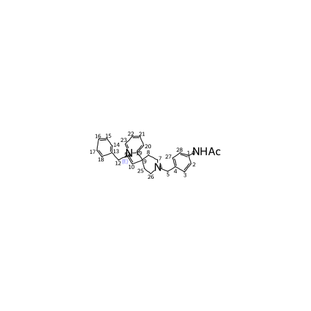 CC(=O)Nc1ccc(CN2CCC(/C=C/Cc3ccccc3)(c3ccccn3)CC2)cc1